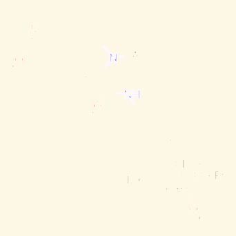 CC(=O)N1Cc2cc(S(C)(=O)=O)ccc2C1C(=O)Nc1ccc(C(CC(=O)OC(C)C)(C(F)(F)F)C(F)(F)F)cc1